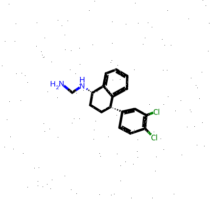 NCN[C@H]1CC[C@@H](c2ccc(Cl)c(Cl)c2)c2ccccc21